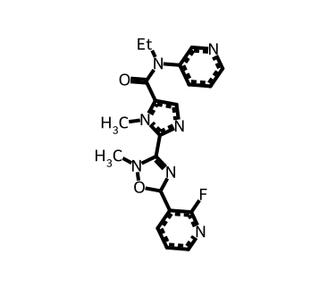 CCN(C(=O)c1cnc(C2=NC(c3cccnc3F)ON2C)n1C)c1cccnc1